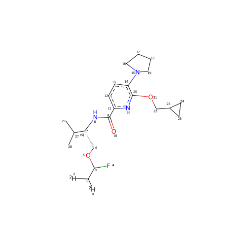 [2H]C([2H])C(F)OC[C@@H](NC(=O)c1ccc(N2CCCC2)c(OCC2CC2)n1)C(C)C